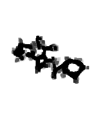 NC(=O)c1c(-c2nccs2)noc1NC(=O)c1ccccc1